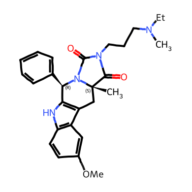 CCN(C)CCCN1C(=O)N2[C@H](c3ccccc3)c3[nH]c4ccc(OC)cc4c3C[C@@]2(C)C1=O